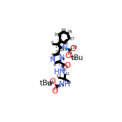 Cc1c(-c2cncc(C(=O)NCC(C)(C)NC(=O)OC(C)(C)C)n2)n(C(=O)OC(C)(C)C)c2ccccc12